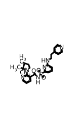 CC1CCN(c2ncccc2C(=O)NS(=O)(=O)c2cccc(NCCc3ccncc3)n2)C1(C)C